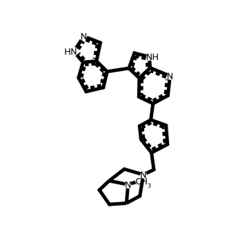 CN1C2CCC1CN(Cc1ccc(-c3cnc4[nH]cc(-c5cccc6[nH]ncc56)c4c3)cc1)C2